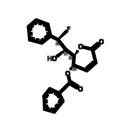 O=C1C=C[C@H](OC(=O)c2ccccc2)[C@H]([C@@H](O)[C@H](F)c2ccccc2)O1